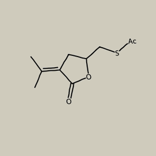 CC(=O)SCC1CC(=C(C)C)C(=O)O1